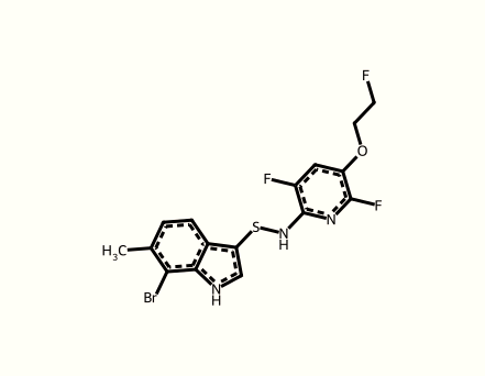 Cc1ccc2c(SNc3nc(F)c(OCCF)cc3F)c[nH]c2c1Br